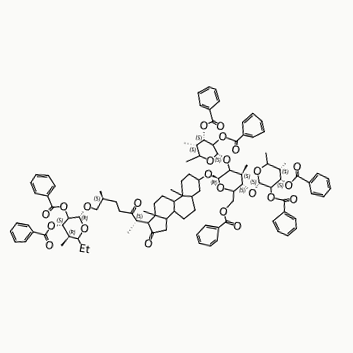 CCC1O[C@@H](OC[C@@H](C)CCC(=O)[C@@H](C)C2C(=O)CC3C4CCC5CC(O[C@@H]6OC(COC(=O)c7ccccc7)[C@@H](O[C@@H]7OC(C)[C@H](C)[C@H](OC(=O)c8ccccc8)C7OC(=O)c7ccccc7)[C@H](C)C6O[C@@H]6OC(C)[C@H](C)[C@H](OC(=O)c7ccccc7)C6OC(=O)c6ccccc6)CCC5(C)C4CCC32C)C(OC(=O)c2ccccc2)[C@@H](OC(=O)c2ccccc2)[C@@H]1C